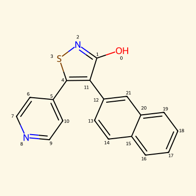 Oc1nsc(-c2ccncc2)c1-c1ccc2ccccc2c1